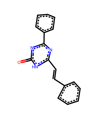 O=c1nc(-c2ccccc2)nc(C=Cc2ccccc2)[nH]1